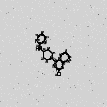 Clc1cc2ncccc2c(N2CCC(Nc3ncccn3)CC2)n1